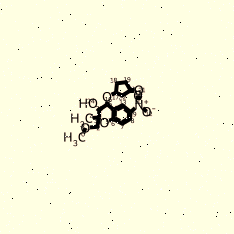 COCC1(C)Oc2ccc([N+](=O)[O-])cc2C(OC2CCC(=O)C2)C1O